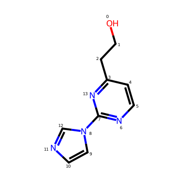 OCCc1ccnc(-n2ccnc2)n1